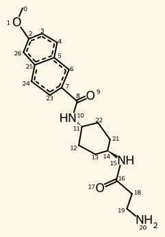 COc1ccc2cc(C(=O)N[C@H]3CC[C@H](NC(=O)CCN)CC3)ccc2c1